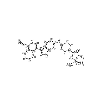 CC(C)(C)OC(=O)N1CCC(Oc2ccc3c(c2)ncn3-c2ccc(C#N)c3ccccc23)CC1